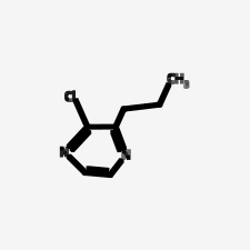 CCCc1nccnc1Cl